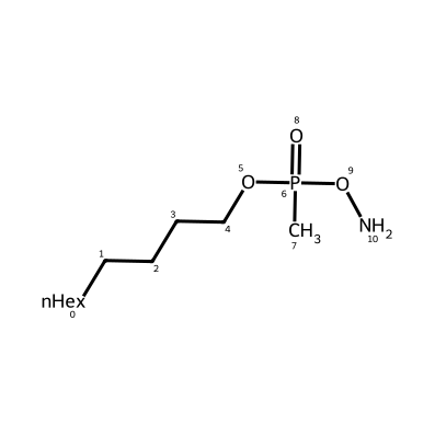 CCCCCCCCCCOP(C)(=O)ON